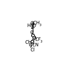 CS(=O)(=O)NC12CC(COc3ccc4c(c3)cc(C(F)(F)F)n4-c3cc(Cl)c(OCCCl)c(C#N)c3)(C1)C2